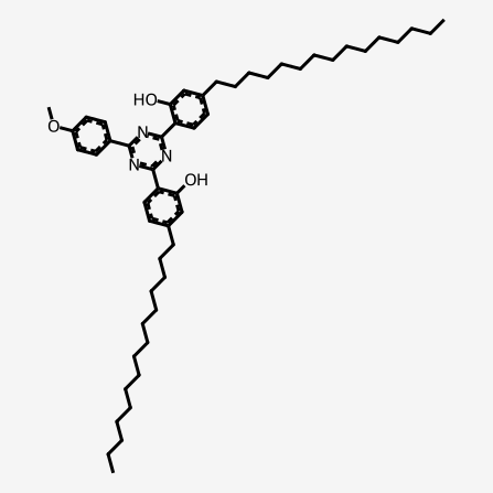 CCCCCCCCCCCCCCCc1ccc(-c2nc(-c3ccc(OC)cc3)nc(-c3ccc(CCCCCCCCCCCCCCC)cc3O)n2)c(O)c1